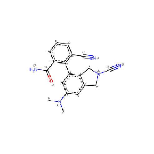 CN(C)c1cc2c(c(-c3c(C#N)cccc3C(N)=O)c1)CN(C#N)C2